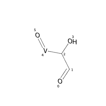 O=C[CH](O)[V]=[O]